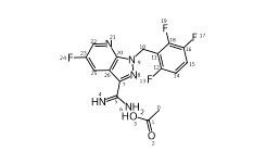 CC(=O)O.N=C(N)c1nn(Cc2c(F)ccc(F)c2F)c2ncc(F)cc12